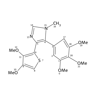 COc1cc(-c2c(-c3scc(OC)c3OC)ncn2C)cc(OC)c1OC